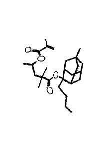 C=C(C)C(=O)OC(C)CC(C)(C)C(=O)OC1(CCCC)C2CC3CC1CC(C)(C3)C2